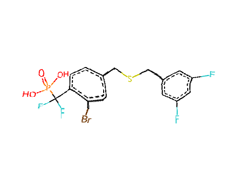 O=P(O)(O)C(F)(F)c1ccc(CSCc2cc(F)cc(F)c2)cc1Br